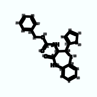 O=C(NC1C(=O)Nc2ccccc2SC1c1cccs1)OCc1ccccc1